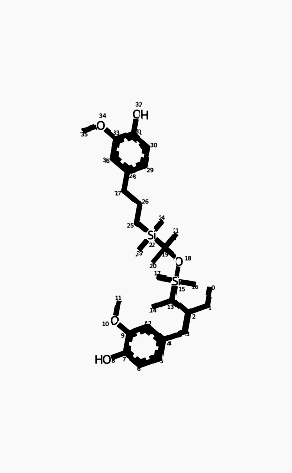 CCC(Cc1ccc(O)c(OC)c1)C(C)[Si](C)(C)OC(C)(C)[Si](C)(C)CCCc1ccc(O)c(OC)c1